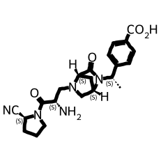 C[C@@H](c1ccc(C(=O)O)cc1)N1C(=O)[C@@H]2C[C@H]1CN2C[C@H](N)C(=O)N1CCC[C@H]1C#N